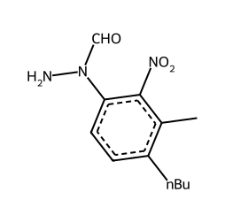 CCCCc1ccc(N(N)C=O)c([N+](=O)[O-])c1C